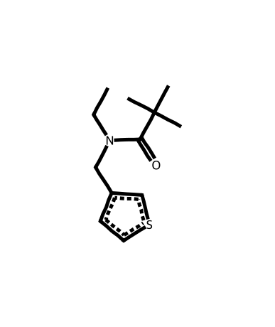 CCN(Cc1ccsc1)C(=O)C(C)(C)C